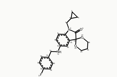 O=C1N(CC2CC2)c2ccc(NCc3ccc(F)cc3)cc2C12OCCCO2